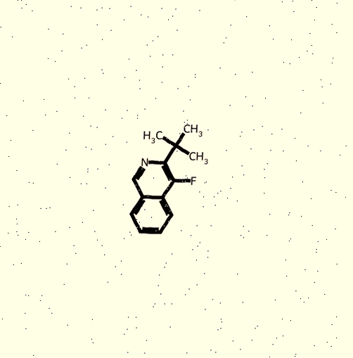 CC(C)(C)c1ncc2ccccc2c1F